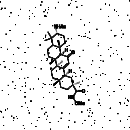 CONC(=O)[C@@]1(C)CC[C@]2(C)CC[C@]3(C)C(=CC(=O)[C@@H]4[C@@]5(C)CC[C@@H](NC(C)=O)C(C)(C)C5CC[C@]43C)[C@H]2C1